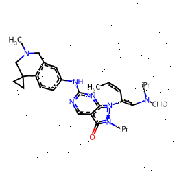 C/C=C\C(=C/N(C=O)C(C)C)n1c2nc(Nc3ccc4c(c3)CN(C)CC43CC3)ncc2c(=O)n1C(C)C